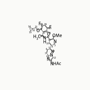 COc1ncc(-c2ccc3nc(NC(C)=O)cn3n2)cc1C(=O)NC(C)c1cc(F)cc(F)c1OCC1CC1